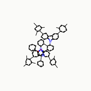 Cc1ccc(-c2ccc3c(c2)c2cc(-c4c(C)cc(C)cc4C)ccc2n3-c2ccccc2-c2c(-c3nc(-c4ccccc4)cc(-c4ccccc4)n3)cccc2-n2c3ccc(-c4ccc(C)cc4C)cc3c3cc(-c4c(C)cc(C)cc4C)ccc32)c(C)c1